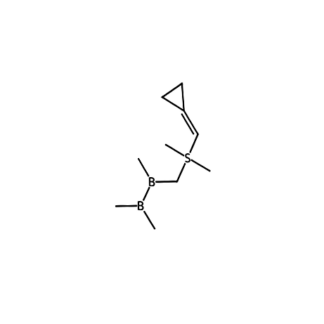 CB(C)B(C)CS(C)(C)C=C1CC1